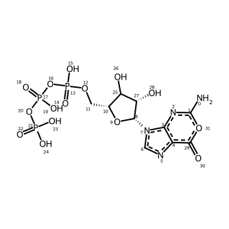 Nc1nc2c(ncn2[C@@H]2O[C@H](COP(=O)(O)OP(=O)(O)OP(=O)(O)O)C(O)[C@@H]2O)c(=O)o1